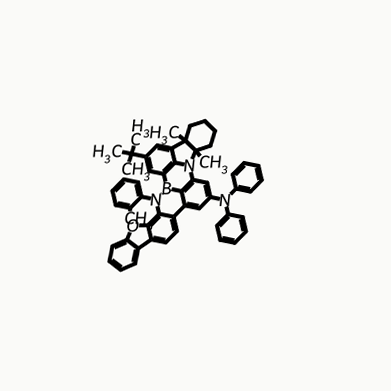 Cc1ccccc1N1B2c3cc(C(C)(C)C)cc4c3N(c3cc(N(c5ccccc5)c5ccccc5)cc(c32)-c2ccc3c(oc5ccccc53)c21)C1(C)CCCCC41C